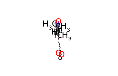 CN1C(=O)CC[C@@]2(C)C1CC[C@@H]1[C@H]2CC[C@]2(C)C(CCCCCCCCCC(=O)Oc3ccccc3)CC[C@@H]12